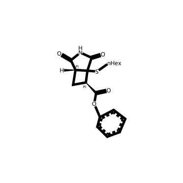 CCCCCCSC12C(=O)NC(=O)[C@H]1C[C@@H]2C(=O)Oc1ccccc1